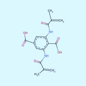 C=C(C)C(=O)Nc1cc(C(=O)O)cc(NC(=O)C(=C)C)c1C(=O)O